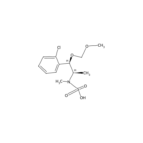 COCO[C@H](c1ccccc1Cl)[C@@H](C)N(C)S(=O)(=O)O